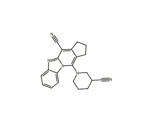 N#Cc1c2c(c(N3CCCC(C#N)C3)n3c1nc1ccccc13)CCC2